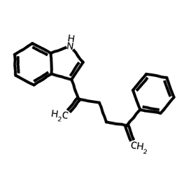 C=C(CCC(=C)c1c[nH]c2ccccc12)c1ccccc1